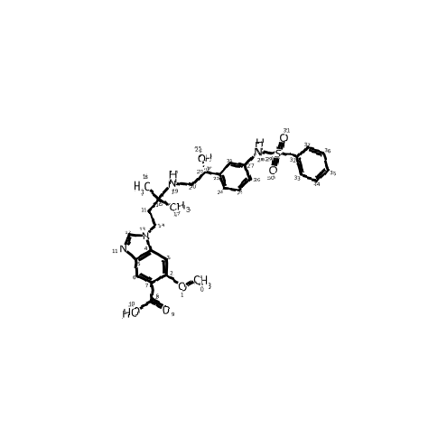 COc1cc2c(cc1C(=O)O)ncn2CCC(C)(C)NC[C@H](O)c1cccc(NS(=O)(=O)c2ccccc2)c1